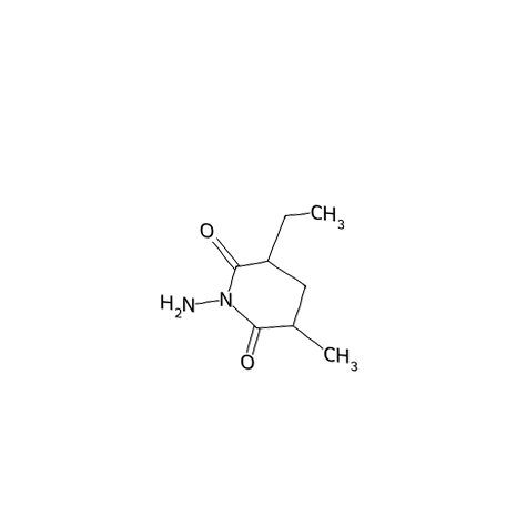 CCC1CC(C)C(=O)N(N)C1=O